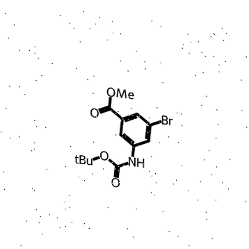 COC(=O)c1cc(Br)cc(NC(=O)OC(C)(C)C)c1